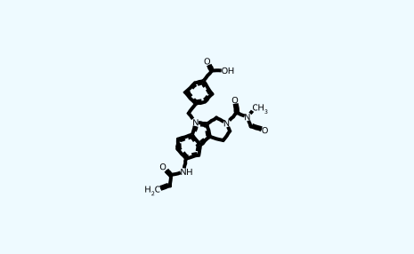 C=CC(=O)Nc1ccc2c(c1)c1c(n2Cc2ccc(C(=O)O)cc2)CN(C(=O)N(C)C=O)CC1